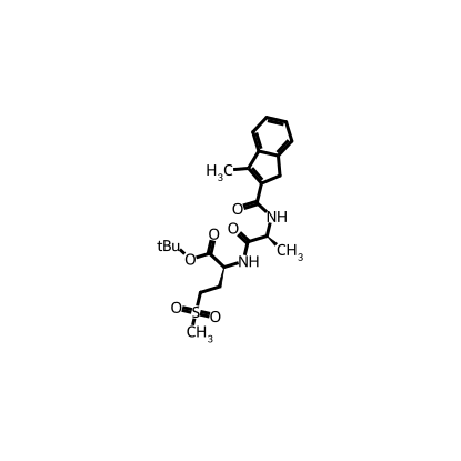 CC1=C(C(=O)N[C@@H](C)C(=O)N[C@@H](CCS(C)(=O)=O)C(=O)OC(C)(C)C)Cc2ccccc21